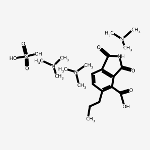 CCCc1ccc2c(c1C(=O)O)C(=O)NC2=O.CN(C)C.CN(C)C.CN(C)C.O=S(=O)(O)O